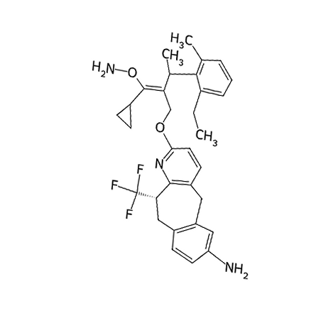 CCc1cccc(C)c1C(C)/C(COc1ccc2c(n1)[C@@H](C(F)(F)F)Cc1ccc(N)cc1C2)=C(\ON)C1CC1